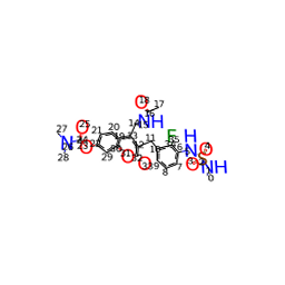 CNS(=O)(=O)Nc1cccc(Cc2c(CNC(C)=O)c3ccc(OC(=O)N(C)C)cc3oc2=O)c1F